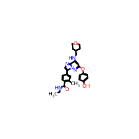 CCNC(=O)c1ccc(-c2cnc3c(NCC4CCOCC4)cc(Oc4ccc(O)cc4)nn23)cc1C